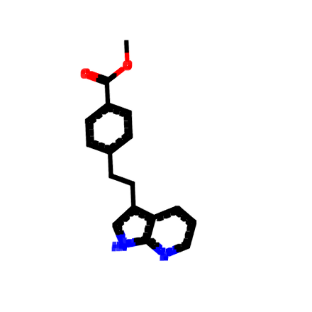 COC(=O)c1ccc(CCc2c[nH]c3ncccc23)cc1